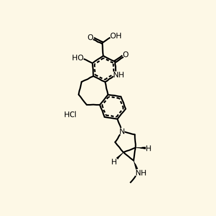 CN[C@H]1[C@@H]2CN(c3ccc4c(c3)CCCc3c-4[nH]c(=O)c(C(=O)O)c3O)C[C@@H]21.Cl